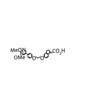 COc1ncc(-c2ccc(OCCCOc3ccc4c(c3)CC[C@H]4CC(=O)O)cc2)c(OC)n1